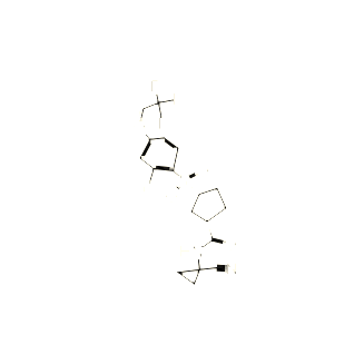 C[C@@H](Oc1ccc(S(=O)(=O)[C@@H]2CC[C@@H](C(=O)NC3(C#N)CC3)C2)c(Cl)c1)C(F)(F)F